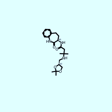 CC(C)(CC(=O)N[C@@H]1CCc2ccccc2NC1=O)NC[C@H]1COC(C)(C)O1